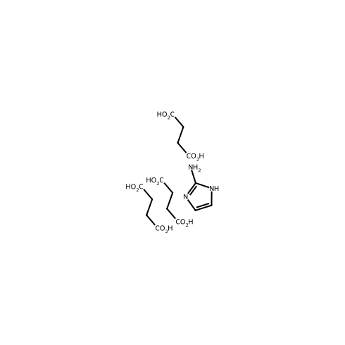 Nc1ncc[nH]1.O=C(O)CCC(=O)O.O=C(O)CCC(=O)O.O=C(O)CCC(=O)O